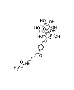 C=CC(=O)NCCCCCC(=O)c1ccc(CO[C@H]2O[C@H](CO)[C@](O)([C@@H]3O[C@H](CO)[C@H](O)[C@H](O)[C@H]3O)[C@H](O)[C@H]2O)cc1